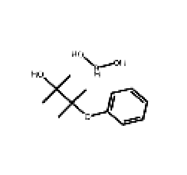 CC(C)(O)C(C)(C)Oc1ccccc1.OBO